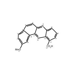 COc1ccc2ccc3nc4cccc(C(=O)O)c4nc3c2c1